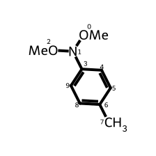 CON(OC)c1ccc(C)cc1